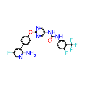 Nc1ncc(F)cc1-c1ccc(Oc2ncc(NC(=O)Nc3ccc(F)c(C(F)(F)F)c3)cn2)cc1